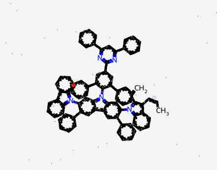 C=Cc1c(/C=C\C)c2ccccc2n1-c1cc2c(cc1-c1ccccc1)c1cc(-c3ccccc3)c(-n3c4ccccc4c4ccccc43)cc1n2-c1c(-c2ccccc2)cc(-c2nc(-c3ccccc3)cc(-c3ccccc3)n2)cc1-c1ccccc1